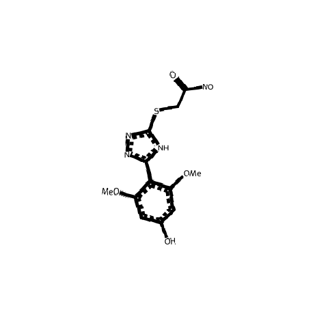 COc1cc(O)cc(OC)c1-c1nnc(SCC(=O)N=O)[nH]1